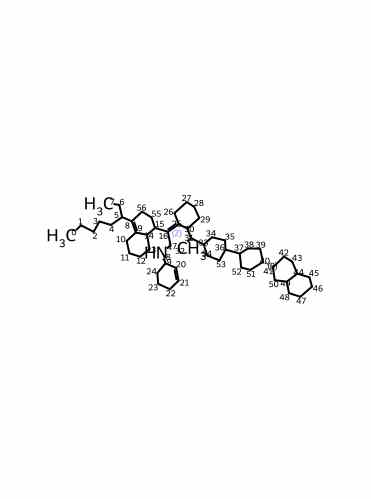 CCCCCC(CC)C1=C2CCCCC2C(/C(CNC2C=CCCC2)=C2\CCCCC2C(C)C2CCC(C3CCC([C@@H]4CCC5CCCCC5C4)CC3)CC2)CC1